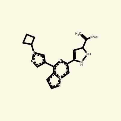 C=C(NC)C1C=C(c2cn3nccc3c(-c3cnn(C4CCC4)c3)n2)NN1